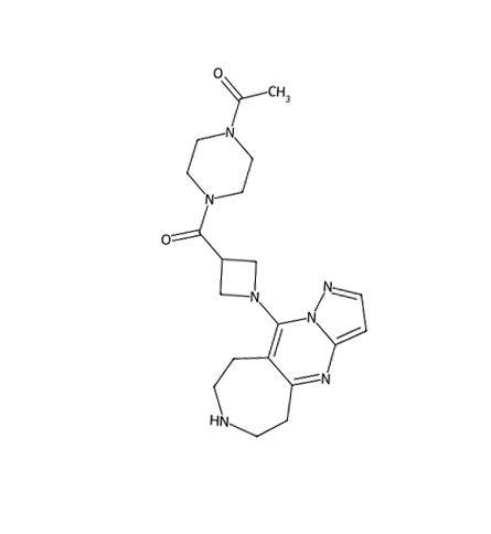 CC(=O)N1CCN(C(=O)C2CN(c3c4c(nc5ccnn35)CCNCC4)C2)CC1